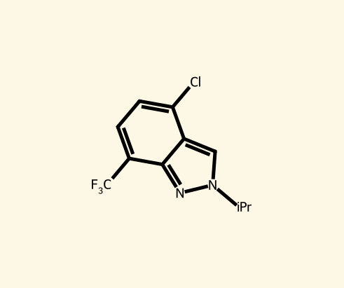 CC(C)n1cc2c(Cl)ccc(C(F)(F)F)c2n1